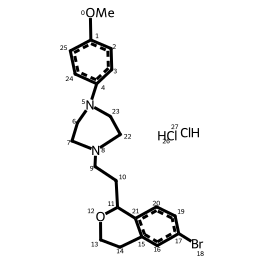 COc1ccc(N2CCN(CCC3OCCc4cc(Br)ccc43)CC2)cc1.Cl.Cl